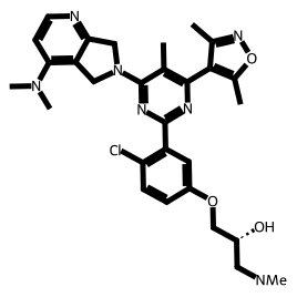 CNC[C@@H](O)COc1ccc(Cl)c(-c2nc(-c3c(C)noc3C)c(C)c(N3Cc4nccc(N(C)C)c4C3)n2)c1